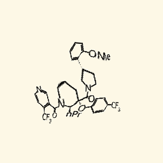 CCC[C@H]1N(C(=O)c2cnccc2C(F)(F)F)CCC[C@@]1(Oc1ccc(C(F)(F)F)cc1)C(=O)N1CC[C@@H](c2ccccc2OC)C1